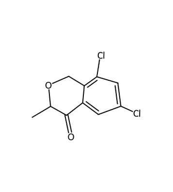 CC1OCc2c(Cl)cc(Cl)cc2C1=O